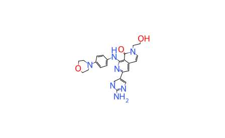 Nc1ncc(-c2cc3ccn(CCO)c(=O)c3c(Nc3ccc(N4CCOCC4)cc3)n2)cn1